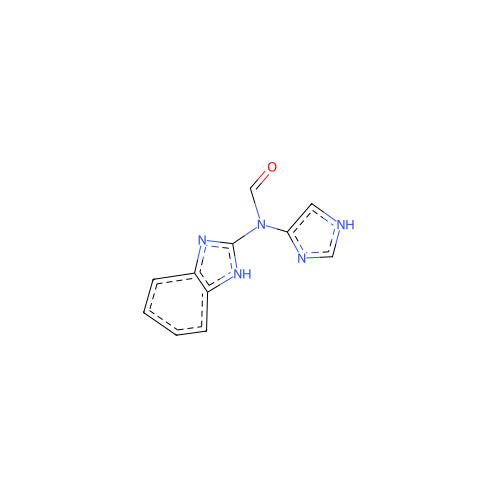 O=CN(c1c[nH]cn1)c1nc2ccccc2[nH]1